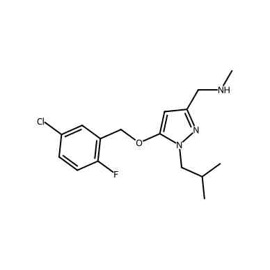 CNCc1cc(OCc2cc(Cl)ccc2F)n(CC(C)C)n1